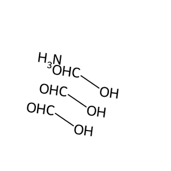 N.O=CO.O=CO.O=CO